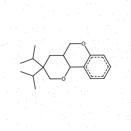 CC(C)C1(C(C)C)COC2c3ccccc3OCC2C1